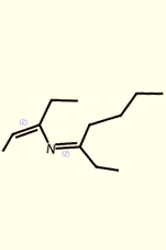 C/C=C(CC)\N=C(\CC)CCCC